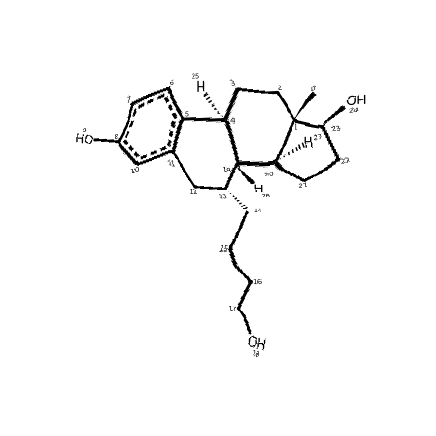 C[C@]12CC[C@@H]3c4ccc(O)cc4C[C@@H](CCCCO)[C@H]3[C@@H]1CC[C@@H]2O